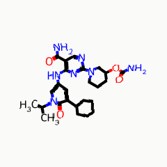 CC(C)n1cc(Nc2nc(N3CCCC(OC(N)=O)C3)ncc2C(N)=O)cc(C2CCCCC2)c1=O